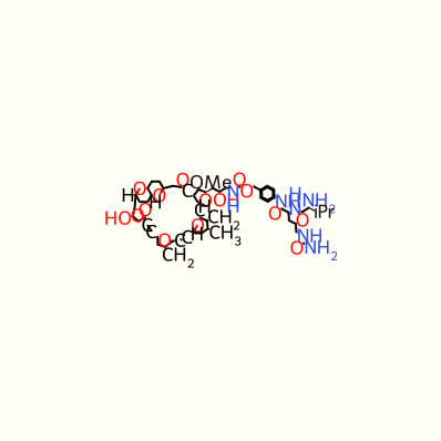 C=C1CC2CC[C@]34C[C@@H](O)C(O3)[C@H]3CC(O4)[C@H]4OC(CCC4O3)CC(=O)CC3[C@H](CC4O[C@@H](CCC1O2)C[C@@H](C)C4=C)O[C@H](CC(O)CNC(=O)OCc1ccc(NC(=O)C(CCCNC(N)=O)NC(=O)[C@@H](N)C(C)C)cc1)[C@@H]3OC